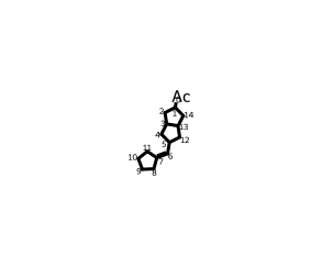 CC(=O)C1CC2CC(C=C3CCCC3)CC2C1